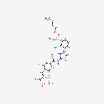 CCCCOCC(OC)c1cccc(-c2csc(NC(=O)c3cc(F)c(C=C(OC)C(=O)O)c(F)c3)n2)c1F